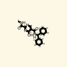 CNC(=O)c1ncc(C(=O)NC(c2ccccc2)c2ccccc2)c(O)n1